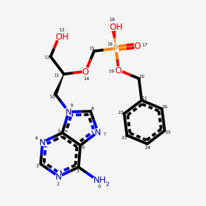 Nc1ncnc2c1ncn2C[C@@H](CO)OC[P@@](=O)(O)OCc1ccccc1